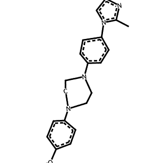 COc1ccc(N2CCN(c3ccc(-n4ccnc4C)cc3)CC2)cc1